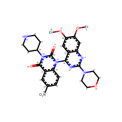 CCOc1cc2nc(N3CCOCC3)nc(-n3c(=O)n(C4CCNCC4)c(=O)c4cc([N+](=O)[O-])ccc43)c2cc1OCC